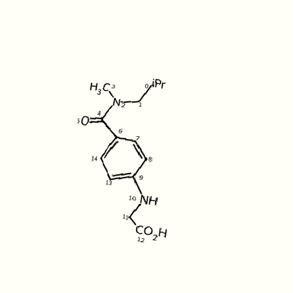 CC(C)CN(C)C(=O)c1ccc(NCC(=O)O)cc1